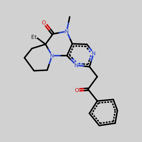 CCC12CCCCN1c1nc(CC(=O)c3ccccc3)ncc1N(C)C2=O